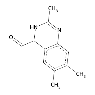 CC1=Nc2cc(C)c(C)cc2C(C=O)N1